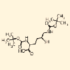 CC(C)(C)OC(=O)NCC(S)CCC(NC(=O)OC(C)(C)C)C(=O)O